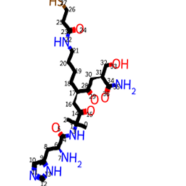 CC(C)(NC(=O)[C@@H](N)Cc1cnc[nH]1)C(=O)C[C@@H](CCCCNC(=O)CCS)C(=O)C[C@@H](CO)C(N)=O